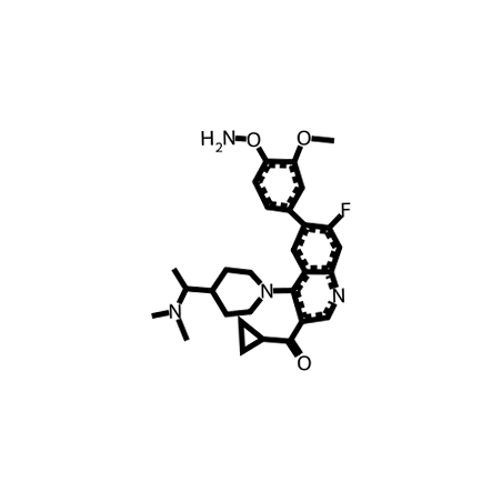 COc1cc(-c2cc3c(N4CCC(C(C)N(C)C)CC4)c(C(=O)C4CC4)cnc3cc2F)ccc1ON